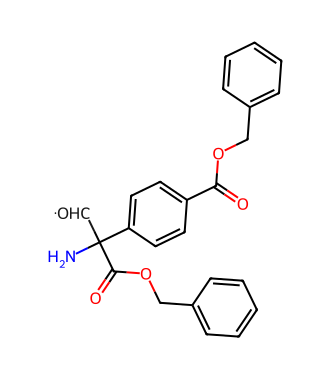 NC([C]=O)(C(=O)OCc1ccccc1)c1ccc(C(=O)OCc2ccccc2)cc1